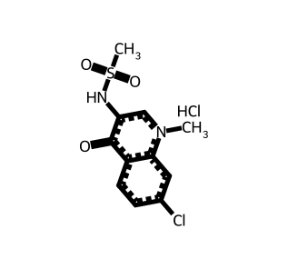 Cl.Cn1cc(NS(C)(=O)=O)c(=O)c2ccc(Cl)cc21